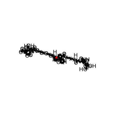 O=C(C=Cc1cn([C@H]2C[C@H](O)[C@@H](CO)O2)c(=O)[nH]c1=O)NCCCCCCNC(=O)c1ccc(C(=O)NCCOCCOCCOCCONC(=O)c2cc(C(=O)O)c3c(n2)C(=O)C(=O)c2cc(C(=O)O)[nH]c2-3)c(P(=O)(c2ccccc2)c2ccccc2)c1